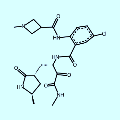 CNC(=O)C(=O)[C@H](C[C@@H]1C[C@@H](C)NC1=O)NC(=O)c1cc(Cl)ccc1NC(=O)C1CN(C)C1